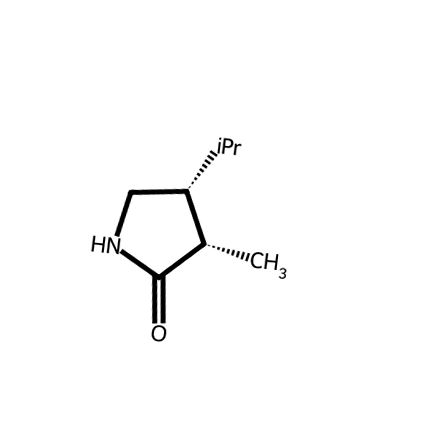 CC(C)[C@H]1CNC(=O)[C@H]1C